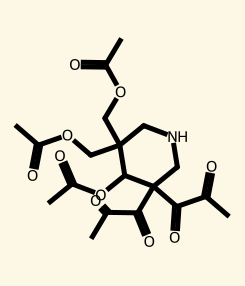 CC(=O)OCC1(COC(C)=O)CNCC(C(=O)C(C)=O)(C(=O)C(C)=O)C1OC(C)=O